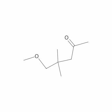 COCC(C)(C)CC(C)=O